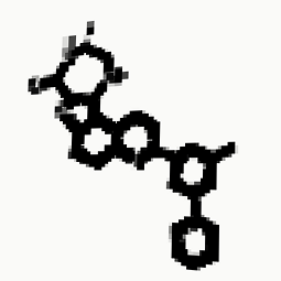 Cc1cc(-c2ccccc2)cc(-c2ccc3c(ccc4sc5c(c43)NC[C@@H](C)NC5=O)n2)c1